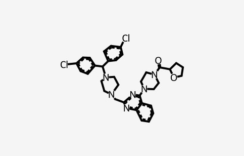 O=C(C1CCCO1)N1CCN(c2nc(CN3CCN(C(c4ccc(Cl)cc4)c4ccc(Cl)cc4)CC3)nc3ccccc23)CC1